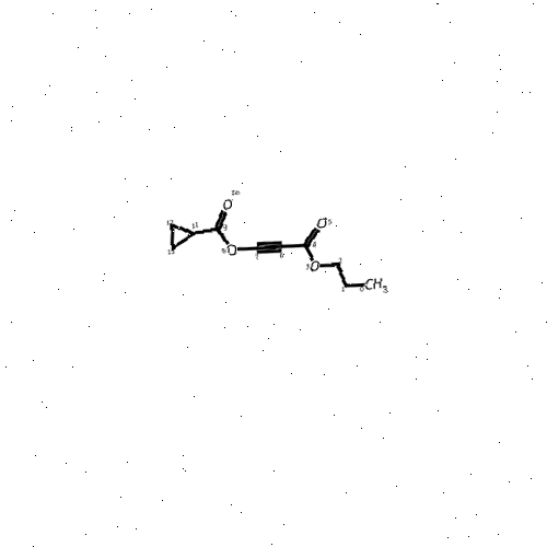 CCCOC(=O)C#COC(=O)C1CC1